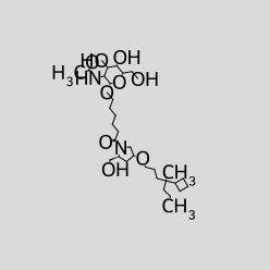 CCCC(C)(CCCO[C@@H]1C[C@@H](CO)N(C(=O)CCCCCOC2OC(CO)C(O)C(O)C2NC(C)=O)C1)C1CCC1